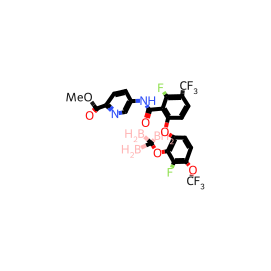 BC(B)(B)Oc1c(Oc2ccc(C(F)(F)F)c(F)c2C(=O)Nc2ccc(C(=O)OC)nc2)ccc(OC(F)(F)F)c1F